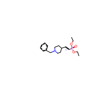 CCOP(=O)(/C=C/C1CCN(Cc2ccccc2)CC1)OCC